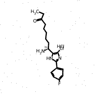 CCC(=O)CCCCC[C@H](N)c1[nH]c(-c2ccc(F)cc2)nc1Cl.Cl